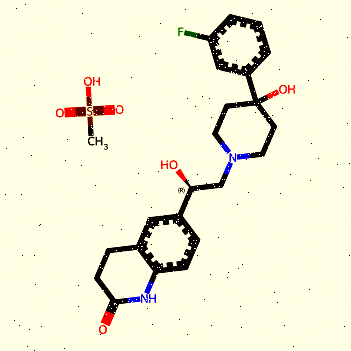 CS(=O)(=O)O.O=C1CCc2cc([C@@H](O)CN3CCC(O)(c4cccc(F)c4)CC3)ccc2N1